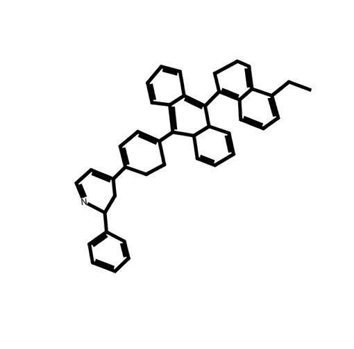 CCc1cccc2c1=CCCC=2C1=c2ccccc2=C(C2=CC=C(C3=CC=NC(c4ccccc4)C3)CC2)C2C=CC=CC12